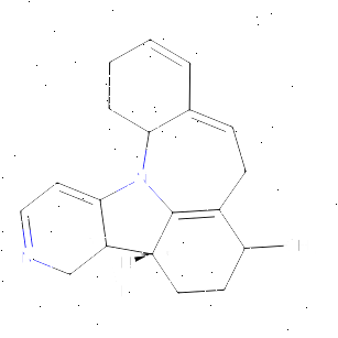 CC1CC[C@H]2C3=C1CC=C1C=CCCC1N3C1=CC=NC[C@@H]12